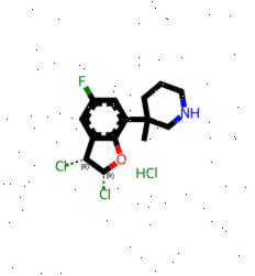 CC1(c2cc(F)cc3c2O[C@H](Cl)[C@@H]3Cl)CCCNC1.Cl